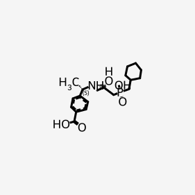 C[C@H](NC[C@@H](O)CP(=O)(O)CC1CCCCC1)c1ccc(C(=O)O)cc1